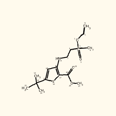 CCOP(C)(=O)CCNc1cc(C(C)(C)C)sc1C(=O)OC